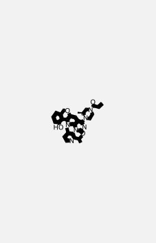 C=CC(=O)N1CCN(c2nc(=O)n(-c3c(C)ccnc3C(C)C)c3nc4c(cc23)OCc2cccc(O)c2-4)[C@@H](C)C1